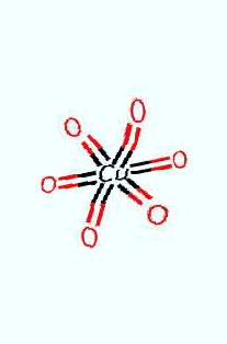 [O]=[Cu](=[O])(=[O])(=[O])(=[O])=[O]